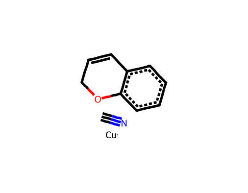 C#N.C1=Cc2ccccc2OC1.[Cu]